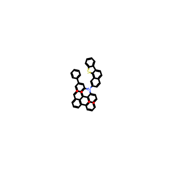 c1ccc(-c2cccc(N(c3ccc4ccc5c6ccccc6sc5c4c3)c3ccccc3-c3cccc4cccc(-c5ccccc5)c34)c2)cc1